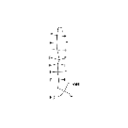 OCC(O)(CC(F)(F)F)CC(F)(F)C(F)(F)C(F)(F)C(F)(F)C(F)(F)C(F)(F)C(F)(F)C(F)(F)F